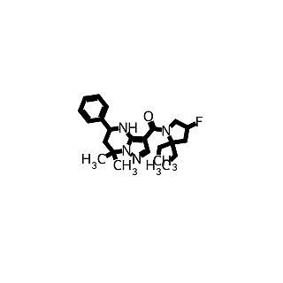 CCC1(CC)CC(F)CN1C(=O)c1cnn2c1NC(c1ccccc1)CC2(C)C